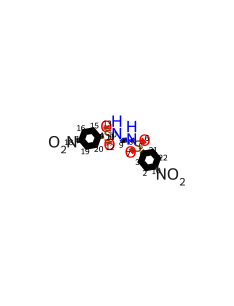 O=[N+]([O-])c1ccc(S(=O)(=O)NCNS(=O)(=O)c2ccc([N+](=O)[O-])cc2)cc1